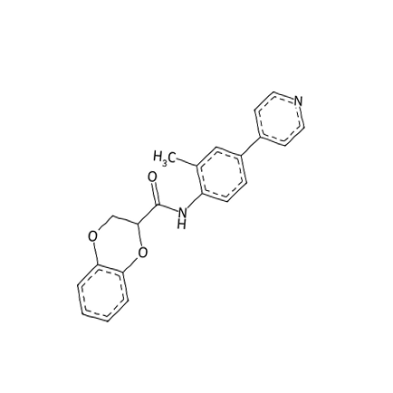 Cc1cc(-c2ccncc2)ccc1NC(=O)C1COc2ccccc2O1